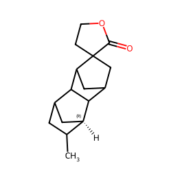 CC1CC2C[C@H]1C1C3CC(C21)C1(CCOC1=O)C3